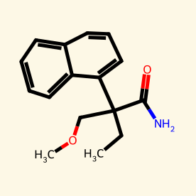 CCC(COC)(C(N)=O)c1cccc2ccccc12